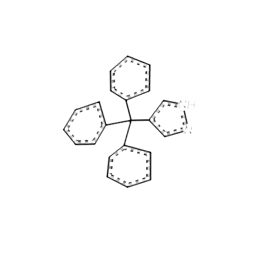 [c]1n[nH]cc1C(c1ccccc1)(c1ccccc1)c1ccccc1